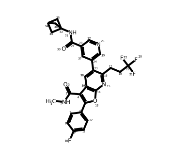 CNC(=O)c1c(-c2ccc(F)cc2)oc2nc(CCC(F)(F)F)c(-c3cncc(C(=O)NC45CC(C4)C5)c3)cc12